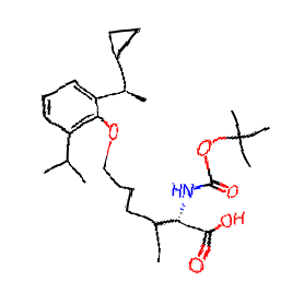 CC(C)c1cccc([C@H](C)C2CC2)c1OCCCC(C)[C@H](NC(=O)OC(C)(C)C)C(=O)O